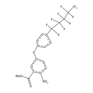 COC(=O)c1cc(Oc2ccc(C(F)(F)C(F)(F)C(F)(F)C(F)(F)C(F)(F)F)cc2)ccc1[N+](=O)[O-]